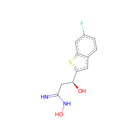 N=C(C[C@H](O)c1cc2ccc(F)cc2s1)NO